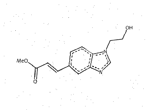 COC(=O)C=Cc1ccc2c(c1)ncn2CCO